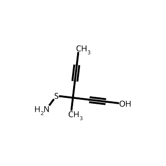 CC#CC(C)(C#CO)SN